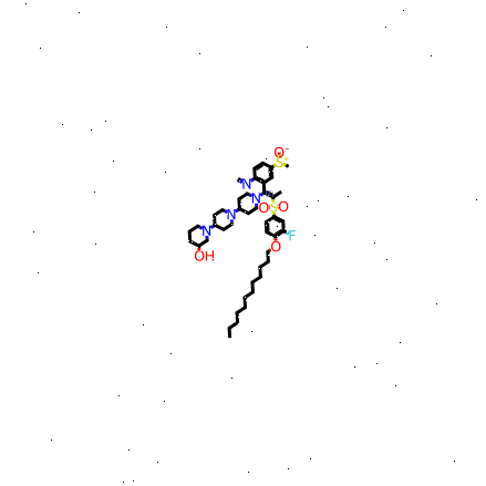 C=Nc1ccc([S+](C)[O-])cc1/C(=C(\C)S(=O)(=O)c1ccc(OCCCCCCCCCCCC)c(F)c1)N1CCC(N2CCC(N3CCCC(O)C3)CC2)CC1